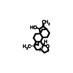 C=C1C2CCC3C(CCC4[C@@]5(C)CCC[C@@]34[C@@H]3OCCN3C5)(C2)[C@H]1O